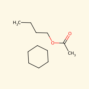 C1CCCCC1.CCCCOC(C)=O